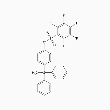 CS(c1ccccc1)(c1ccccc1)c1ccc(OS(=O)(=O)c2c(F)c(F)c(F)c(F)c2F)cc1